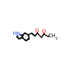 C=CC(=O)CC(=O)/C=C/c1ccc2cc[nH]c2c1